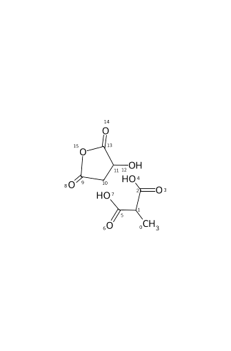 CC(C(=O)O)C(=O)O.O=C1CC(O)C(=O)O1